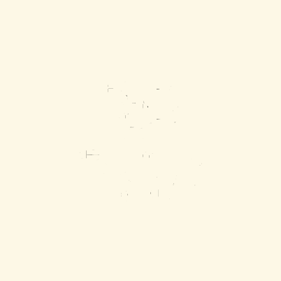 Cc1c(-c2ccccc2)oc2c(C(=O)O[C@@H](C)N3CCCCC3)cc(Cl)cc2c1=O